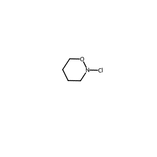 ClN1CCCCO1